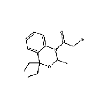 CCC1(CC)OC(C)N(C(=O)CBr)c2ccccc21